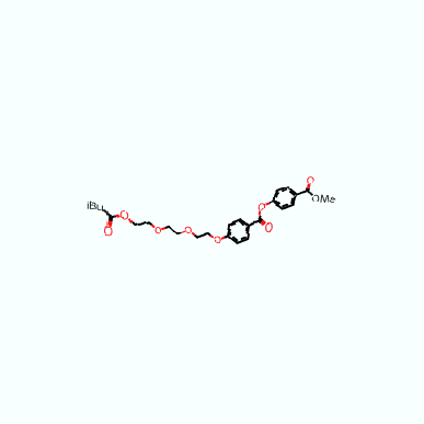 CCC(C)C(=O)OCCOCCOCCOc1ccc(C(=O)Oc2ccc(C(=O)OC)cc2)cc1